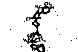 C[C@H]1NCCN(c2ncc(Cl)c(N3CC(C(=O)NC(C)(C)c4cnc5ccccn45)C3)n2)[C@H]1C